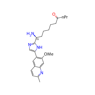 CCCC(=O)CCCCC[C@H](N)c1ncc(-c2cc3ccc(C)nc3cc2OC)[nH]1